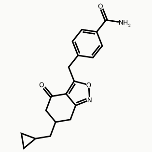 NC(=O)c1ccc(Cc2onc3c2C(=O)CC(CC2CC2)C3)cc1